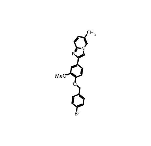 COc1cc(-c2cn3cc(C)ccc3n2)ccc1OCc1ccc(Br)cc1